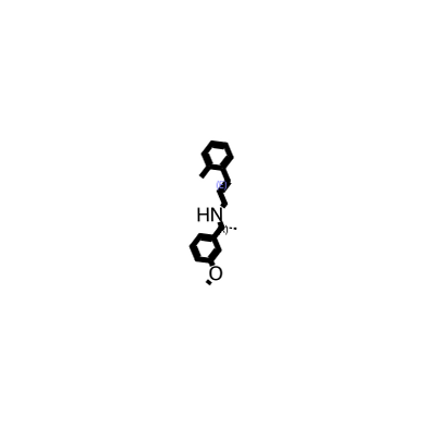 COc1cccc([C@@H](C)NC/C=C/c2ccccc2C)c1